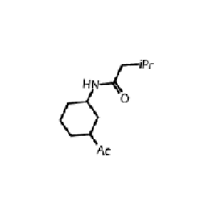 CC(=O)C1CCCC(NC(=O)CC(C)C)C1